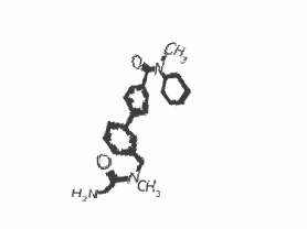 CN(Cc1cccc(-c2ccc(C(=O)N(C)C3CCCCC3)cc2)c1)C(=O)CN